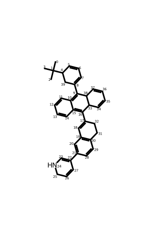 CC(C)(C)C1C=CC=C(C2=c3ccccc3=C(C3=Cc4cc(C5=CNCC=C5)ccc4CC3)C3C=CC=CC23)C1